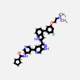 CN(C)CCOc1cc(F)cc(-c2cccc3[nH]c(-c4n[nH]c5cnc(-c6cncc(NC(=O)C7CCCC7)c6)cc45)cc23)c1